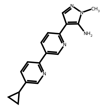 Cn1ncc(-c2ccc(-c3ccc(C4CC4)cn3)cn2)c1N